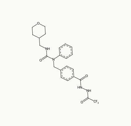 O=C(NNC(=O)C(F)(F)F)c1ccc(CN(C(=O)NCC2CCOCC2)c2ccccc2)cc1